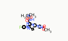 COC(=O)N1CCN(C2CCN(c3cc(C(=O)NS(=O)(=O)N(C)C)nc4c3c(C3CCC3)nn4-c3ccc(F)cc3)CC2)CC1